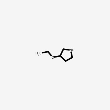 CCOC1CCNC1